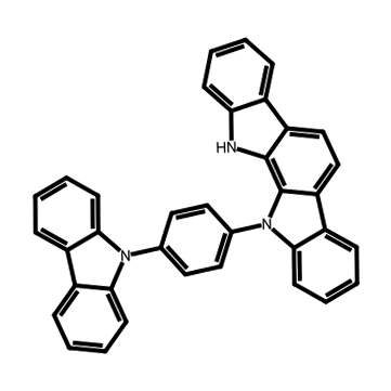 c1ccc2c(c1)[nH]c1c2ccc2c3ccccc3n(-c3ccc(-n4c5ccccc5c5ccccc54)cc3)c21